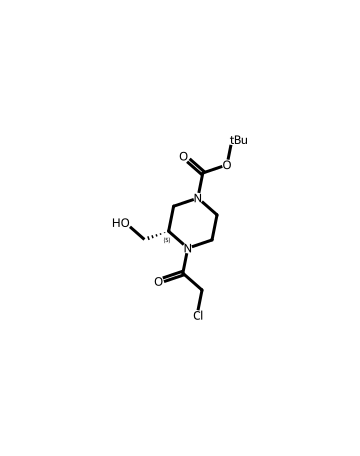 CC(C)(C)OC(=O)N1CCN(C(=O)CCl)[C@H](CO)C1